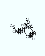 CCCc1cc(Cl)ccc1[C@@H]1COc2ccc3cc2N(C1)C[C@@H]1CC[C@H]1[C@@](CN1CCN2CCN(C(=O)CCSc4ccccc4)C[C@@H]2C1)(OC)/C=C/C[C@H](C)[C@@H](C)S(=O)(=O)NC3=O